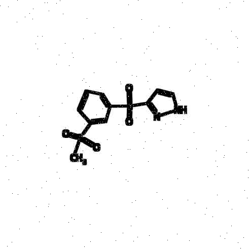 CS(=O)(=O)c1cccc(S(=O)(=O)c2cc[nH]n2)c1